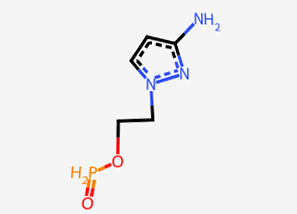 Nc1ccn(CCO[PH2]=O)n1